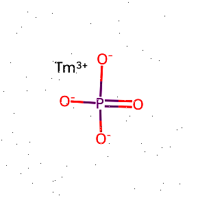 O=P([O-])([O-])[O-].[Tm+3]